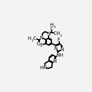 CC(=O)N1CCN(C(C)C)c2cc(-c3nc(Nc4ccc5c(n4)CCNC5)ncc3F)cc(F)c21